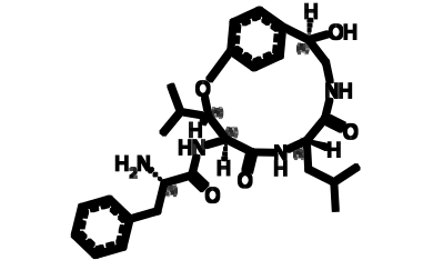 CC(C)C[C@@H]1NC(=O)[C@@H](NC(=O)[C@@H](N)Cc2ccccc2)[C@H](C(C)C)Oc2ccc(cc2)[C@@H](O)CNC1=O